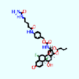 CCCC1O[C@@H]2CC3C4C[C@H](F)C5=CC(=O)C=C[C@]5(C)[C@@]4(F)[C@@H](O)C[C@]3(C)[C@]2(C(=O)CNC(=O)OCc2ccc(NC(=O)CCCCNC(N)=O)cc2)O1